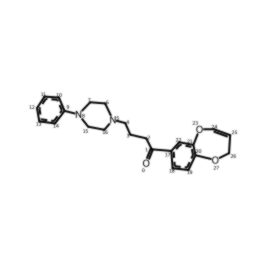 O=C(CCCN1CCN(c2ccccc2)CC1)c1ccc2c(c1)OC=CCO2